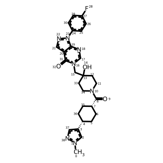 Cn1cc([C@H]2CC[C@@H](C(=O)N3CCC(O)(Cn4cnc5c(cnn5-c5ccc(F)cc5)c4=O)CC3)CC2)cn1